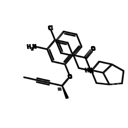 CC#C[C@H](C)Oc1cc(N)c(Cl)cc1C(=O)NC1C2CCC1CN(Cc1ccccc1)C2